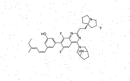 CC/C(C)=C/C=C\c1cc(O)cc(-c2c(F)cc3c(N4CC5CCC(C4)N5)nc(CC[C@@]45CCCN4C[C@H](F)C5)nc3c2F)c1